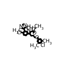 CCOC(=O)c1[nH]c2c(-c3c(C)ncnc3C)c(Cl)ccc2c1CCCOc1cc(C)c(Cl)c(C)c1